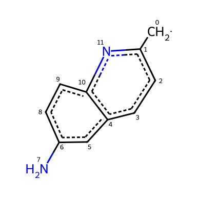 [CH2]c1ccc2cc(N)ccc2n1